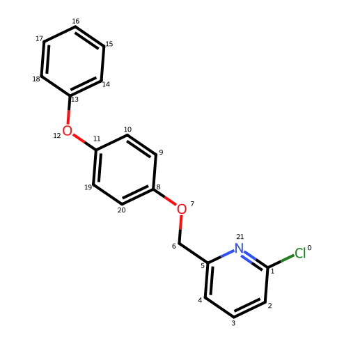 Clc1cccc(COc2ccc(Oc3ccccc3)cc2)n1